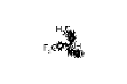 CNC(=O)C(NC(CCc1ccc(C(F)(F)F)cc1)c1ccc2nc(C)oc2c1)c1ccccc1